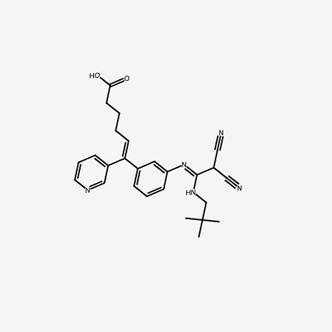 CC(C)(C)CNC(=Nc1cccc(C(=CCCCC(=O)O)c2cccnc2)c1)C(C#N)C#N